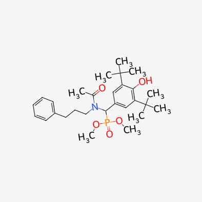 COP(=O)(OC)C(c1cc(C(C)(C)C)c(O)c(C(C)(C)C)c1)N(CCCc1ccccc1)C(C)=O